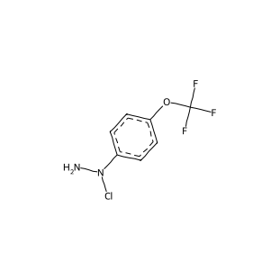 NN(Cl)c1ccc(OC(F)(F)F)cc1